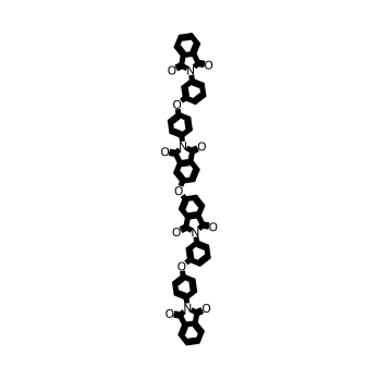 O=C1c2ccccc2C(=O)N1c1ccc(Oc2cccc(N3C(=O)c4ccc(Oc5ccc6c(c5)C(=O)N(c5ccc(Oc7cccc(N8C(=O)c9ccccc9C8=O)c7)cc5)C6=O)cc4C3=O)c2)cc1